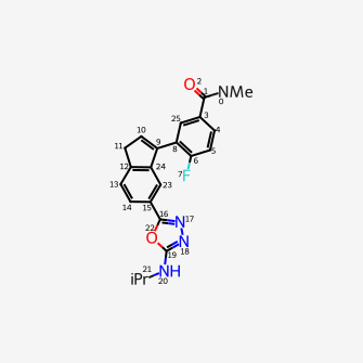 CNC(=O)c1ccc(F)c(C2=CCc3ccc(-c4nnc(NC(C)C)o4)cc32)c1